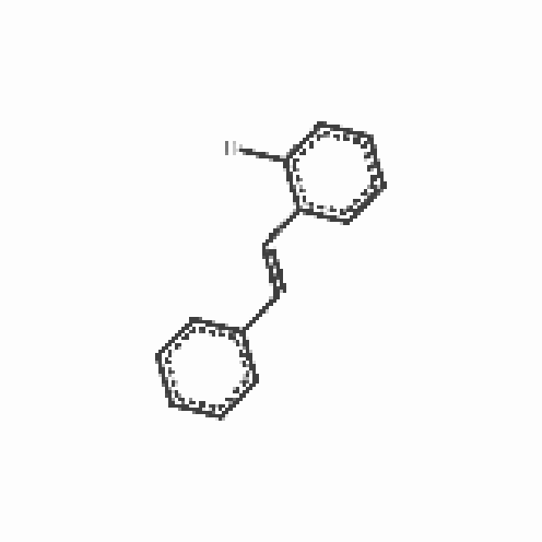 [Li][c]1ccccc1C=Cc1ccccc1